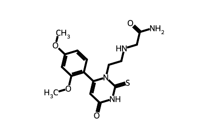 COc1ccc(-c2cc(=O)[nH]c(=S)n2CCNCC(N)=O)c(OC)c1